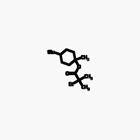 CCC(C)(C)C(=O)OC1(C)CCC(C(C)(C)C)CC1